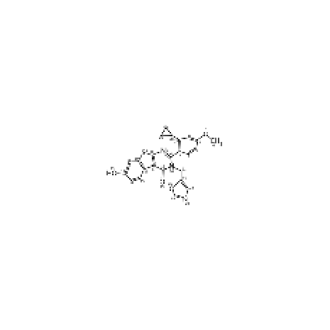 COc1ccc(-c2nc3sc4cc(O)ccc4c3c(=O)n2Cc2cnco2)c(C2CC2)c1